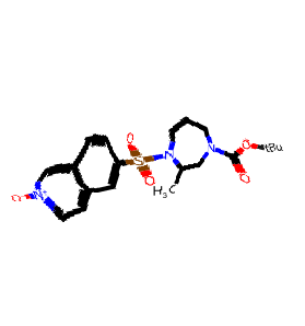 CC1CN(C(=O)OC(C)(C)C)CCCN1S(=O)(=O)c1ccc2c[n+]([O-])ccc2c1